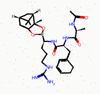 CC(=O)N[C@@H](C)C(=O)N[C@@H](CC1=CC=CCC1)C(=O)N[C@@H](CCCNC(=N)N)B1OC2C[C@@H]3C[C@@H](C3(C)C)[C@]2(C)O1